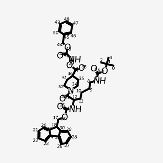 CC(C)(C)OC(=O)NCCCCC(NC(=O)OCC1c2ccccc2-c2ccccc21)C(=O)N1CCC(C(=O)ONC(=O)OCc2ccccc2)CC1